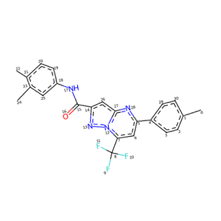 Cc1ccc(-c2cc(C(F)(F)F)n3nc(C(=O)Nc4ccc(C)c(C)c4)cc3n2)cc1